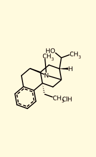 CC[C@@]12CC3[C@@H](C(C)O)CC1C(Cc1ccccc12)N3C.Cl